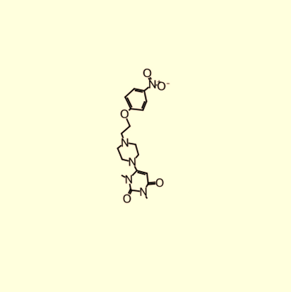 Cn1c(N2CCN(CCOc3ccc([N+](=O)[O-])cc3)CC2)cc(=O)n(C)c1=O